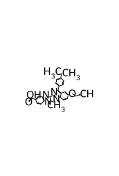 C#CCOc1ccc2nc(-c3nc4cc(C(=O)O)ccc4n3C)nc(-c3ccc(C(C)C)cc3)c2c1